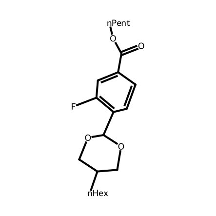 CCCCCCC1COC(c2ccc(C(=O)OCCCCC)cc2F)OC1